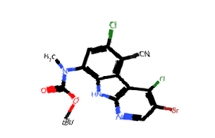 CN(C(=O)OC(C)(C)C)c1cc(Cl)c(C#N)c2c1[nH]c1ncc(Br)c(Cl)c12